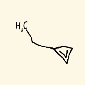 CCC1=C=C1